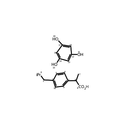 CC(C)Cc1ccc(C(C)C(=O)O)cc1.Oc1cc(O)cc(O)c1